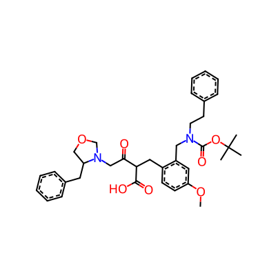 COc1ccc(CC(C(=O)O)C(=O)CN2COCC2Cc2ccccc2)c(CN(CCc2ccccc2)C(=O)OC(C)(C)C)c1